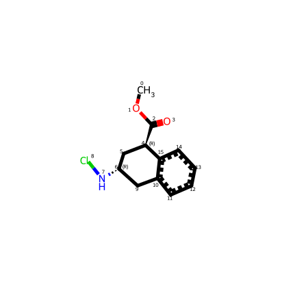 COC(=O)[C@@H]1C[C@@H](NCl)Cc2ccccc21